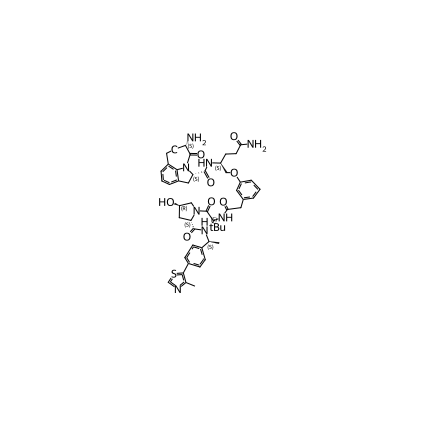 Cc1ncsc1-c1ccc([C@H](C)NC(=O)[C@@H]2C[C@@H](O)CN2C(=O)[C@@H](NC(=O)Cc2cccc(OC[C@H](CCC(N)=O)NC(=O)[C@@H]3Cc4cccc5c4N3C(=O)[C@@H](N)CC5)c2)C(C)(C)C)cc1